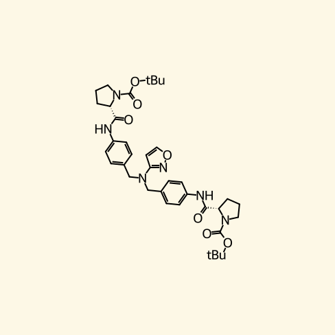 CC(C)(C)OC(=O)N1CCC[C@H]1C(=O)Nc1ccc(CN(Cc2ccc(NC(=O)[C@@H]3CCCN3C(=O)OC(C)(C)C)cc2)c2ccon2)cc1